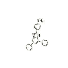 Bc1ccc(-c2nc3c(-c4ccccc4)cc(-c4ccccc4)cn3n2)cc1